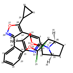 N#Cc1ccc(N2[C@@H]3CC[C@H]2C[C@@H](OCc2c(-c4ccccc4OC(F)F)noc2C2CC2)C3)nc1